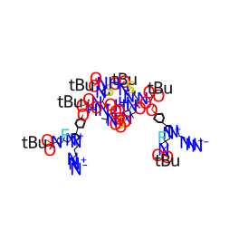 CC(C)(C)OC(=O)Nc1nc(/C(=N/O[C@@H](COc2ccc(-c3cn(CCCN=[N+]=[N-])[n+](CC4(F)CN(C(=O)OC(C)(C)C)C4)c3)cc2)C(=O)OC(C)(C)C)C(=O)N[C@@H]2C(=O)N(OS(=O)(=O)ON3C(=O)[C@@H](NC(=O)/C(=N\O[C@@H](COc4ccc(-c5cn(CCCN=[N+]=[N-])[n+](CC6(F)CN(C(=O)OC(C)(C)C)C6)c5)cc4)C(=O)OC(C)(C)C)c4csc(NC(=O)OC(C)(C)C)n4)C3(C)C)C2(C)C)cs1